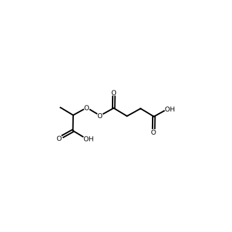 CC(OOC(=O)CCC(=O)O)C(=O)O